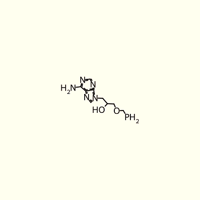 Nc1ncnc2c1ncn2CC(O)COCP